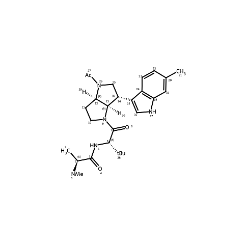 CN[C@@H](C)C(=O)N[C@H](C(=O)N1CC[C@@H]2[C@H]1[C@@H](c1c[nH]c3cc(C)ccc13)CN2C(C)=O)C(C)(C)C